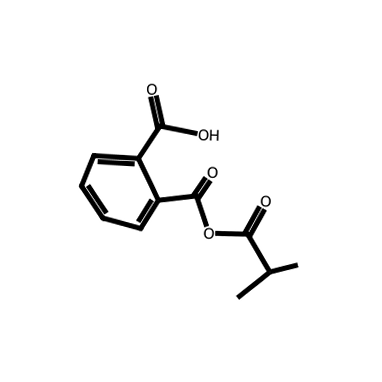 CC(C)C(=O)OC(=O)c1ccccc1C(=O)O